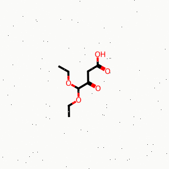 CCOC(OCC)C(=O)CC(=O)O